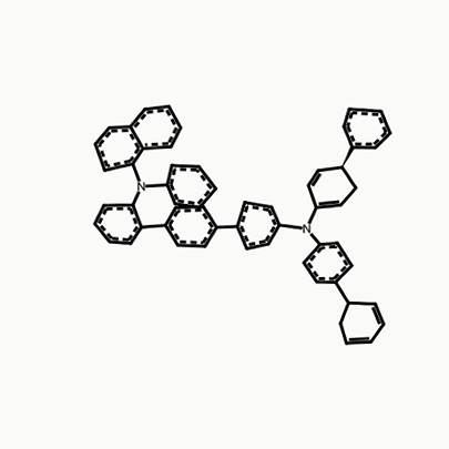 C1=CCC(c2ccc(N(C3=CC[C@H](c4ccccc4)C=C3)c3ccc(-c4ccc(-c5ccccc5N(c5ccccc5)c5cccc6ccccc56)cc4)cc3)cc2)C=C1